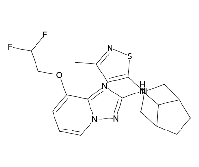 Cc1cc(N2CC3CCC(C2)C3Nc2nc3c(OCC(F)F)cccn3n2)sn1